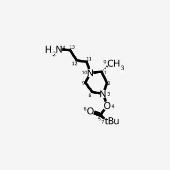 C[C@@H]1CN(OC(=O)C(C)(C)C)CCN1CCCN